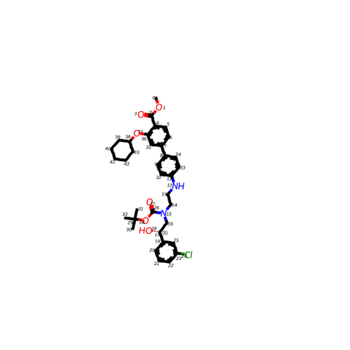 COC(=O)c1ccc(-c2ccc(NCCN(C[C@@H](O)c3cccc(Cl)c3)C(=O)OC(C)(C)C)cc2)cc1OC1CCCCC1